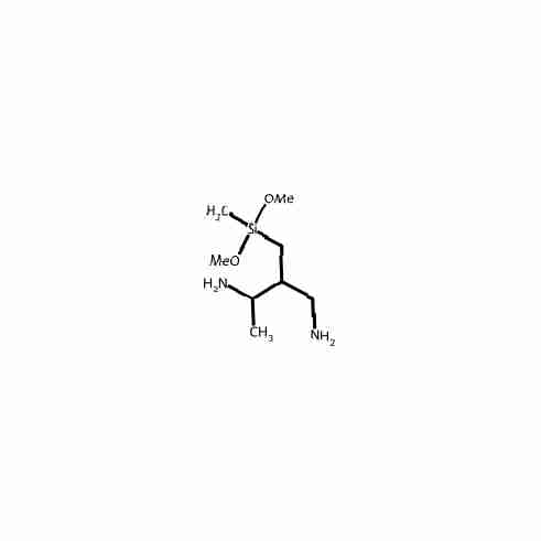 CO[Si](C)(CC(CN)C(C)N)OC